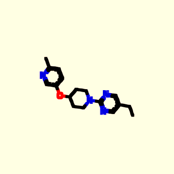 CCc1cnc(N2CCC(Oc3ccc(C)nc3)CC2)nc1